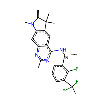 C=C1N(C)c2cc3nc(C)nc(N[C@H](C)c4cccc(C(C)(F)F)c4F)c3cc2C1(C)C